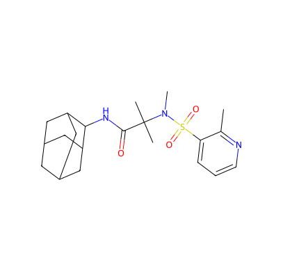 Cc1ncccc1S(=O)(=O)N(C)C(C)(C)C(=O)NC1C2CC3CC(C2)CC1C3